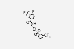 O=C(NC[C@H]1C[C@@H](S(=O)(=O)c2cccc(C(F)(F)F)c2)C1)c1ccc(F)c(C(F)(F)F)c1